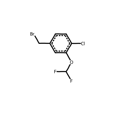 FC(F)Oc1cc(CBr)ccc1Cl